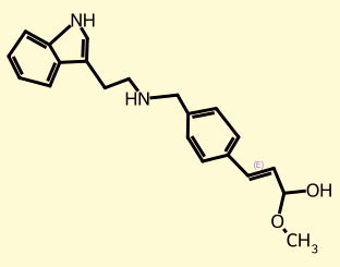 COC(O)/C=C/c1ccc(CNCCc2c[nH]c3ccccc23)cc1